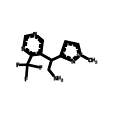 Cn1ccc(C(CN)c2cncnc2C(F)(F)F)n1